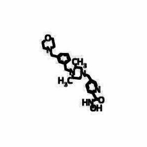 CC1CN(Cc2ccc(C(=O)NO)nc2)CC(C)N1Cc1cccc(CN2CCOCC2)c1